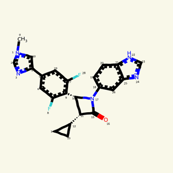 Cn1cnc(-c2cc(F)c([C@H]3[C@@H](C4CC4)C(=O)N3c3ccc4[nH]cnc4c3)c(F)c2)c1